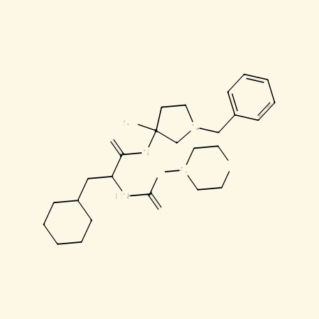 N#CC1(NC(=O)C(CC2CCCCC2)NC(=O)ON2CCOCC2)CCN(Cc2ccccc2)C1